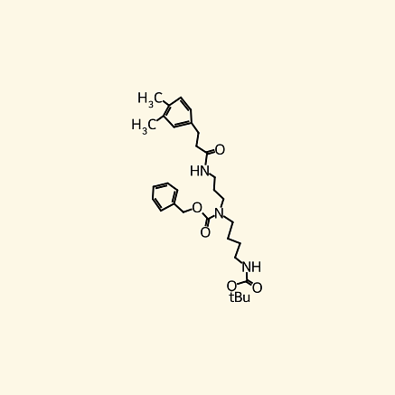 Cc1ccc(CCC(=O)NCCCN(CCCCNC(=O)OC(C)(C)C)C(=O)OCc2ccccc2)cc1C